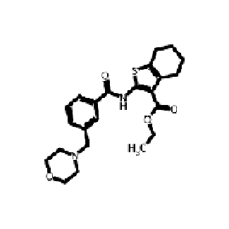 CCOC(=O)c1c(NC(=O)c2cccc(CN3CCOCC3)c2)sc2c1CCCC2